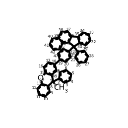 CC1(c2ccccc2)c2ccccc2Oc2ccc(-c3ccc(C4(c5ccccc5)c5ccccc5-c5ccc6ccccc6c54)cc3)cc21